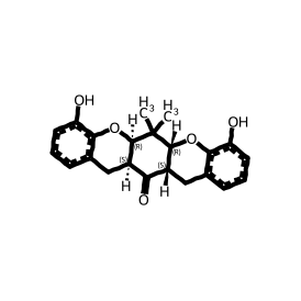 CC1(C)[C@@H]2Oc3c(O)cccc3C[C@@H]2C(=O)[C@H]2Cc3cccc(O)c3O[C@H]21